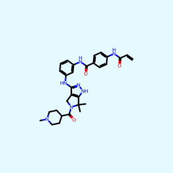 C=CC(=O)Nc1ccc(C(=O)Nc2cccc(Nc3n[nH]c4c3CN(C(=O)C3CCN(C)CC3)C4(C)C)c2)cc1